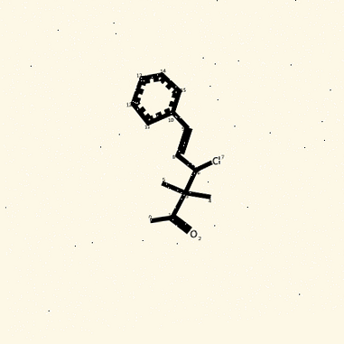 CC(=O)C(C)(C)C(Cl)C=Cc1ccccc1